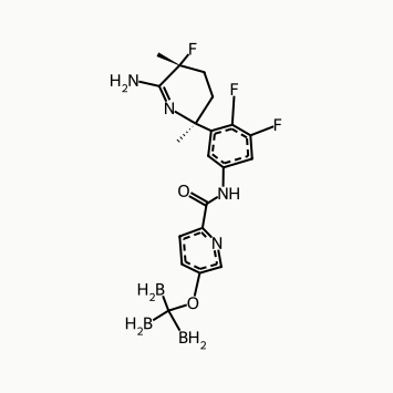 BC(B)(B)Oc1ccc(C(=O)Nc2cc(F)c(F)c([C@]3(C)CC[C@@](C)(F)C(N)=N3)c2)nc1